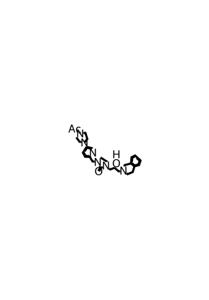 CC(=O)N1CCN(c2ccc(CN3CCN(CC(O)CN4CCc5ccccc5C4)C3=O)nc2)CC1